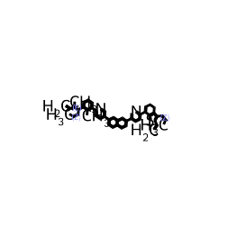 C=C/C(C)=C(\C=C/C)c1cccc(-c2ccc(-c3ccc4ccc(-c5ccc(C6=CCCc7c6sc(C=C)c7/C=C\C)nc5)cc4c3)cn2)c1C